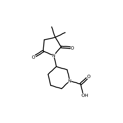 CC1(C)CC(=O)N(C2CCCN(C(=O)O)C2)C1=O